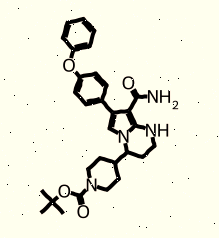 CC(C)(C)OC(=O)N1CCC(C2CCNc3c(C(N)=O)c(-c4ccc(Oc5ccccc5)cc4)cn32)CC1